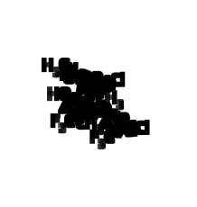 Cc1c(-c2ccc(Cl)cc2)c(C(=O)N2CC(O)C2)n(C2CC2)c1C(F)(F)F.Cc1noc(C2CCN(C(=O)c3c(-c4ccc(Cl)cc4)c(C)c(C(F)(F)F)n3C3CC3)CC2)n1.O=C(c1c(-c2ccc(Cl)cc2)cc(C(F)(F)F)n1C1CC1)N1CC(O)C1